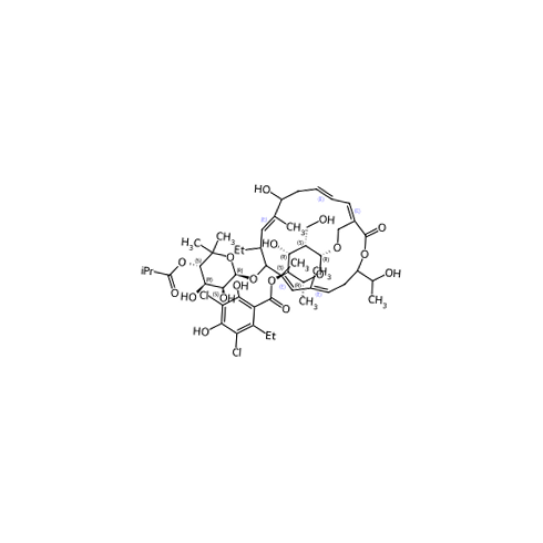 CCc1c(Cl)c(O)c(Cl)c(O)c1C(=O)O[C@H]1[C@H](O)[C@H](CO)[C@H](OC/C2=C\C=C\CC(O)/C(C)=C/C(CC)C(O[C@@H]3OC(C)(C)[C@@H](OC(=O)C(C)C)[C@H](O)[C@@H]3O)/C(C)=C/C(C)=C/CC(C(C)O)OC2=O)O[C@@H]1C